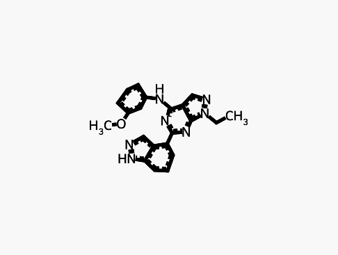 CCn1ncc2c(Nc3cccc(OC)c3)nc(-c3cccc4[nH]ncc34)nc21